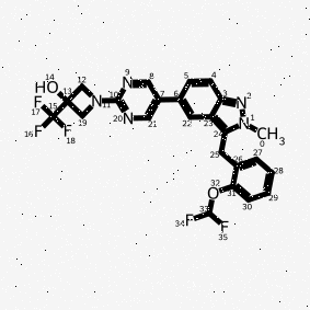 Cn1nc2ccc(-c3cnc(N4CC(O)(C(F)(F)F)C4)nc3)cc2c1Cc1ccccc1OC(F)F